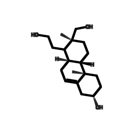 C[C@]1(CO)CC[C@H]2[C@@H](CC=C3C[C@@H](O)CC[C@@]32C)C1CCO